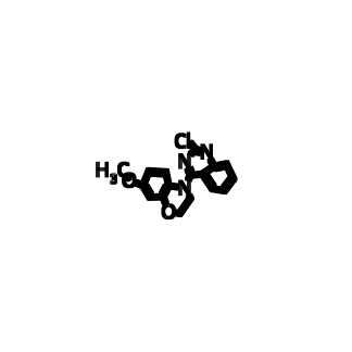 COc1ccc2c(c1)OCCN2c1nc(Cl)nc2ccccc12